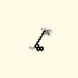 CCO[Si](C)(C)C(C)CCCCCCCCCC1Cc2c(ccc3ccccc23)C(N)C1